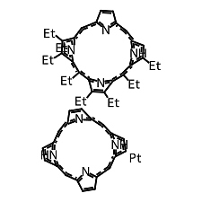 C1=Cc2cc3ccc(cc4nc(cc5ccc(cc1n2)[nH]5)C=C4)[nH]3.CCC1=C(CC)c2nc1c(CC)c1[nH]c(cc3nc(cc4c(CC)c(CC)c(c2CC)n4CC)C=C3)cc1CC.[Pt]